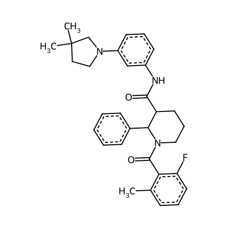 Cc1cccc(F)c1C(=O)N1CCCC(C(=O)Nc2cccc(N3CCC(C)(C)C3)c2)C1c1ccccc1